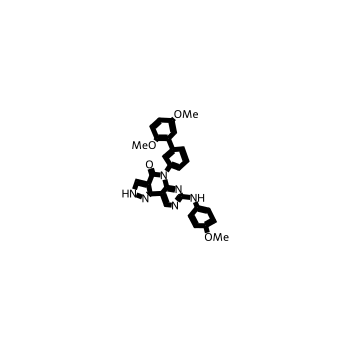 COc1ccc(Nc2ncc3c4n[nH]cc4c(=O)n(-c4cccc(-c5cc(OC)ccc5OC)c4)c3n2)cc1